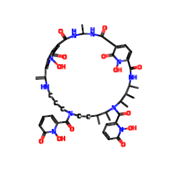 C=C1NCCCN(C(=O)c2cccc(=O)n2O)CCC(C)C(C)N(C(=O)c2cccc(=O)n2O)C(C)C(C)C(C)NC(=O)c2ccc(c(=O)n2O)C(=O)NC(C)NC(=O)c2ccc1n(O)c2=O